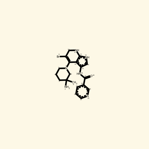 CC1(N)CCCN(C2=C(Br)CNc3[nH]cc(NC(=O)c4cccnc4)c32)C1